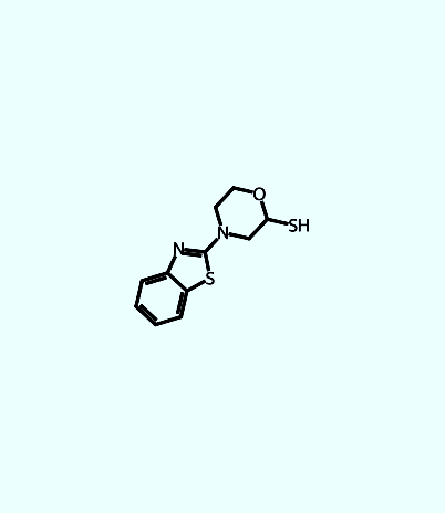 SC1CN(c2nc3ccccc3s2)CCO1